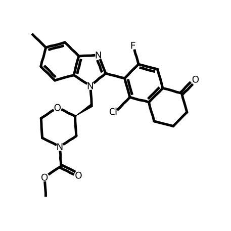 COC(=O)N1CCO[C@@H](Cn2c(-c3c(F)cc4c(c3Cl)CCCC4=O)nc3cc(C)ccc32)C1